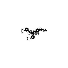 CCOCCOc1ccc(CCN(CC(O)c2cccc(Cl)c2)CC(O)c2cccc(Cl)c2)cc1